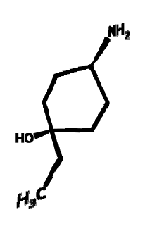 CC[C@]1(O)CC[C@@H](N)CC1